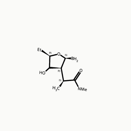 B[C@@H]1O[C@H](CC)C(O)[C@@H]1[C@H](C)C(=O)NC